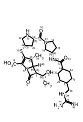 C[C@@H](O)[C@H]1C(=O)N2C(C(=O)O)=C(S[C@@H]3CN[C@H](C(=O)N4CC[C@H](NC(=O)C5CCC(CNC(=N)N)CC5)C4)C3)[C@H](C)[C@H]12